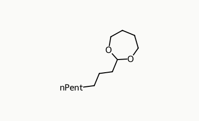 CCCCCCCCC1OCCCCO1